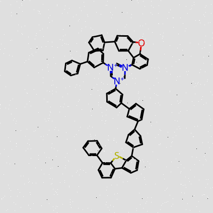 c1ccc(-c2cccc(-[n+]3c[n+](-c4cccc(-c5cccc(-c6ccc(-c7cccc8c7sc7c(-c9ccccc9)cccc78)cc6)c5)c4)c[n+](-c4cccc5oc6ccc(-c7ccccc7)cc6c45)c3)c2)cc1